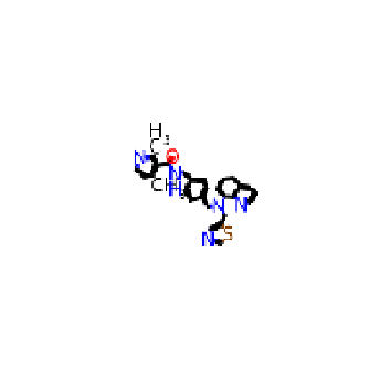 Cc1ccnc(C)c1C(=O)NCc1ccc(CN(Cc2cncs2)C2CCCc3cccnc32)cc1